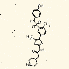 Cc1ccc(-c2sc(NC(=O)CC3CCNCC3)nc2C)cc1S(=O)(=O)Nc1ccc(O)cc1